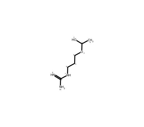 CC(O)OCCCNC(=N)N